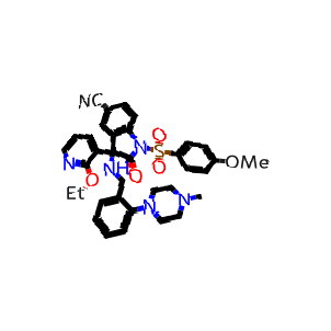 CCOc1ncccc1C1(NCc2ccccc2N2CCN(C)CC2)C(=O)N(S(=O)(=O)c2ccc(OC)cc2)c2ccc(C#N)cc21